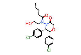 CCCCC(=O)N(CCO)N1C(=O)CO[C@H](c2ccc(Cl)cc2)[C@@H]1c1ccc(Cl)cc1